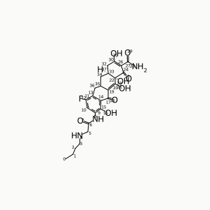 CCCCNCC(=O)Nc1cc(F)c2c(c1O)C(=O)C1=C(O)[C@]3(O)C(=O)C(C(N)=O)=C(O)C[C@@H]3CC1C2